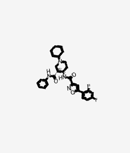 O=C(N[C@@H]1CCN(C2CCCCC2)C[C@H]1C(=O)Nc1ccccc1)c1cc(-c2ccc(F)cc2F)on1